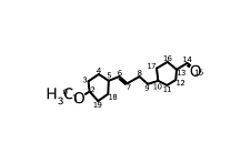 COC1CCC(C=CCCC2CCC(C=O)CC2)CC1